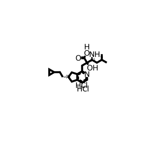 CC(C)C[C@H](N)C(O)(Cc1nccc2c1C[C@@H](CCC1CC1)C2)C(=O)O.Cl.Cl